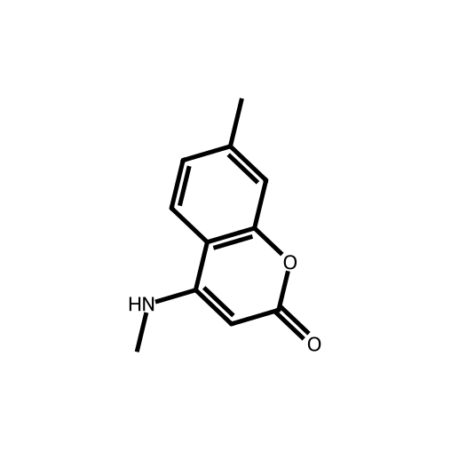 CNc1cc(=O)oc2cc(C)ccc12